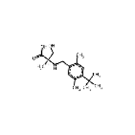 Cc1cc(C(C)(C)C)c(C)cc1CN[C@@](C)(CO)C(=O)O